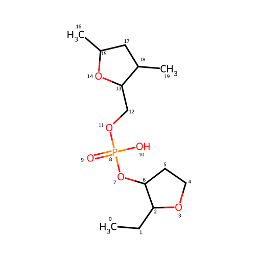 CCC1OCCC1OP(=O)(O)OCC1OC(C)CC1C